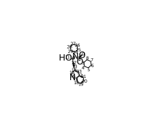 O=C(OC1CCCCC1)N(C(O)C#Cc1cnc2ccccc2c1)C1CCCCC1